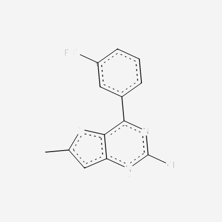 Cc1cc2nc(Cl)nc(-c3cccc(C(F)(F)F)c3)c2s1